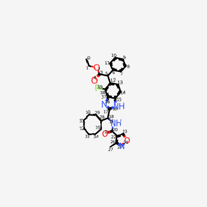 CCOC(=O)C(c1ccccc1)c1ccc2[nH]c(C(NC(=O)c3conc3C)C3CCCCCCC3)nc2c1F